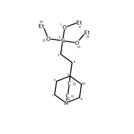 CCO[Si](CCC12CCN(CC1)CC2)(OCC)OCC